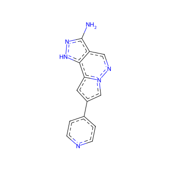 Nc1n[nH]c2c1cnn1cc(-c3ccncc3)cc21